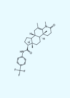 CC1=C2N(C)C(=O)CC[C@]2(C)[C@H]2CC[C@]3(C)[C@@H](C(=O)Nc4ccc(C(F)(F)F)cc4)CC[C@H]3[C@@H]2C1